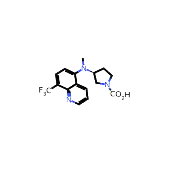 CN(c1ccc(C(F)(F)F)c2ncccc12)[C@H]1CCN(C(=O)O)C1